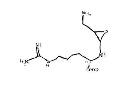 N=C(N)NCCC[C@@H](C=O)NC1OC1CN